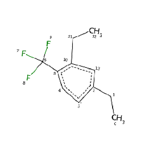 CCc1[c]cc(C(F)(F)F)c(CC)c1